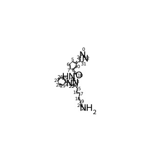 Cn1cc(-c2cccc(C(=O)Nc3nc(CCCCCCN)cn3-c3ccccc3)c2)cn1